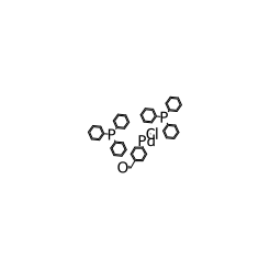 O=Cc1cc[c]([Pd][Cl])cc1.c1ccc(P(c2ccccc2)c2ccccc2)cc1.c1ccc(P(c2ccccc2)c2ccccc2)cc1